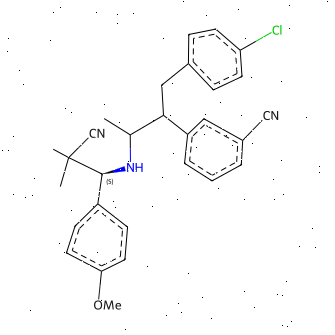 COc1ccc([C@H](NC(C)C(Cc2ccc(Cl)cc2)c2cccc(C#N)c2)C(C)(C)C#N)cc1